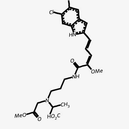 COC(=O)CN(CCCNC(=O)C(=CC=Cc1cc2cc(Cl)c(Cl)cc2[nH]1)OC)C(C)C(=O)O